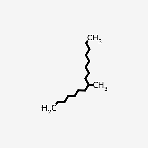 [CH2]CCCCCCC(C)CCCCCCCC